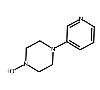 ON1CCN(c2cccnc2)CC1